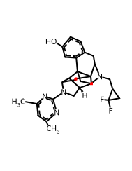 Cc1cc(C)nc(N2C[C@H]3CC45CCC2C3C42CCN(CC3CC3(F)F)C5Cc3ccc(O)cc32)n1